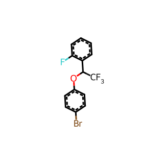 Fc1ccccc1C(Oc1ccc(Br)cc1)C(F)(F)F